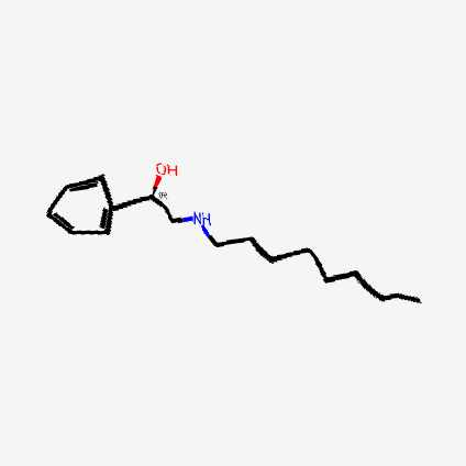 CCCCCCCCNC[C@H](O)c1ccccc1